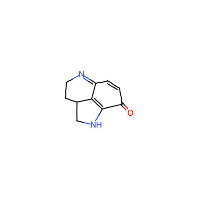 O=C1C=CC2=NCCC3CNC1=C23